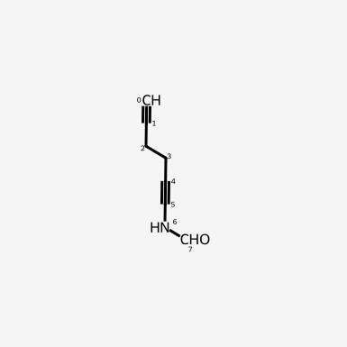 C#CCCC#CNC=O